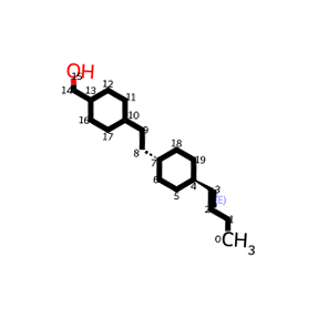 CC/C=C/[C@H]1CC[C@H](CCC2CCC(CO)CC2)CC1